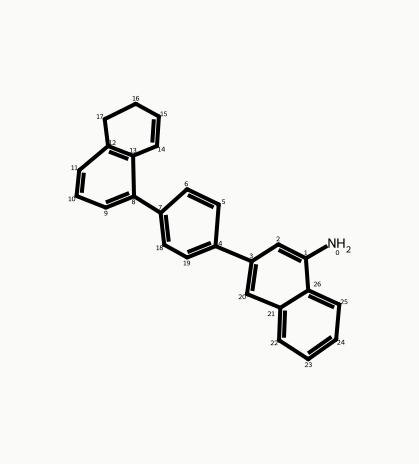 Nc1cc(-c2ccc(-c3cccc4c3C=CCC4)cc2)cc2ccccc12